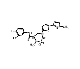 CN1[C@@H](C(=O)Nc2ccc(F)c(Cl)c2)C[C@@H](c2ccc(-c3ccn(C)n3)s2)NS1(=O)=O